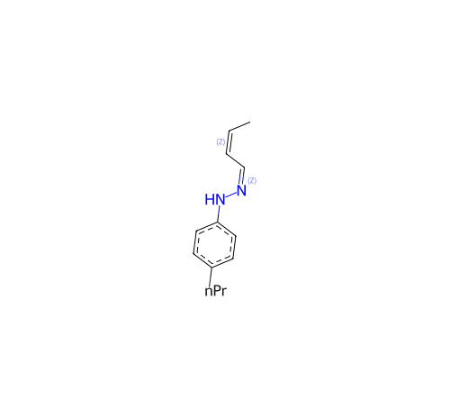 C/C=C\C=N/Nc1ccc(CCC)cc1